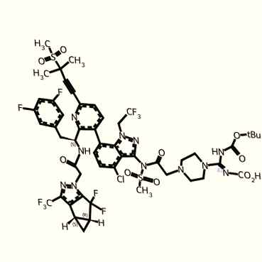 CC(C)(C)OC(=O)N/C(=N\C(=O)O)N1CCN(CC(=O)N(c2nn(CC(F)(F)F)c3c(-c4ccc(C#CC(C)(C)S(C)(=O)=O)nc4[C@H](Cc4cc(F)cc(F)c4)NC(=O)Cn4nc(C(F)(F)F)c5c4C(F)(F)[C@@H]4C[C@H]54)ccc(Cl)c23)S(C)(=O)=O)CC1